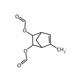 [CH2]C1=CC2CC1C(OC=O)C2OC=O